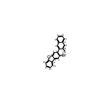 Brc1cc2c(cc1-c1cc3ccccc3cc1I)oc1ccccc12